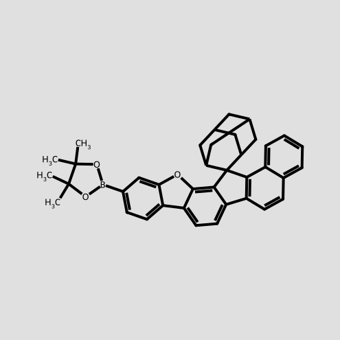 CC1(C)OB(c2ccc3c(c2)oc2c4c(ccc23)-c2ccc3ccccc3c2C42C3CC4CC(C3)CC2C4)OC1(C)C